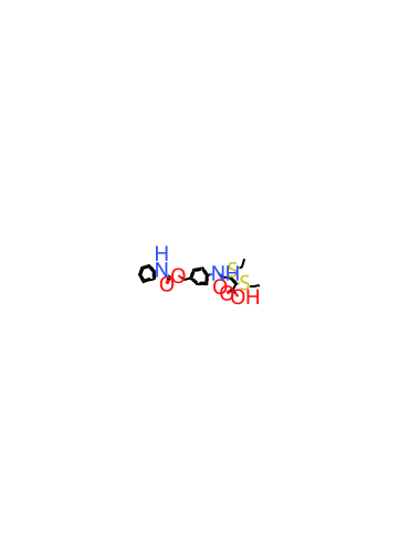 CCS/C(C(=O)O)=C(\SCC)C(=O)Nc1ccc(COC(=O)Nc2ccccc2)cc1